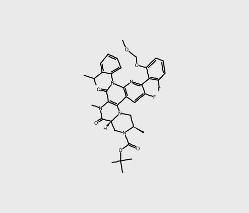 COCOc1cccc(F)c1-c1nc2c(cc1F)c1c(c(=O)n2-c2ccccc2C(C)C)N(C)C(=O)[C@H]2CN(C(=O)OC(C)(C)C)[C@H](C)CN12